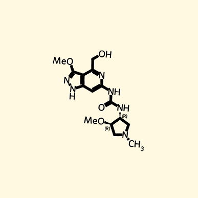 COc1n[nH]c2cc(NC(=O)N[C@@H]3CN(C)C[C@H]3OC)nc(CO)c12